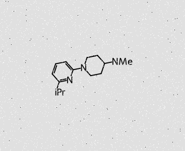 CNC1CCN(c2cccc(C(C)C)n2)CC1